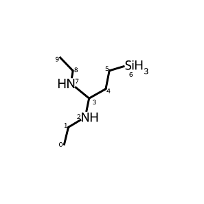 CCNC(CC[SiH3])NCC